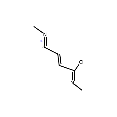 CN=C(Cl)C=C/[C]=N/C